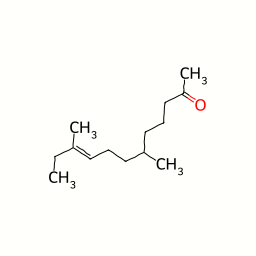 CCC(C)=CCCC(C)CCCC(C)=O